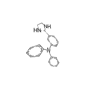 c1ccc(N(c2ccccc2)c2cccc(C3NCCN3)c2)cc1